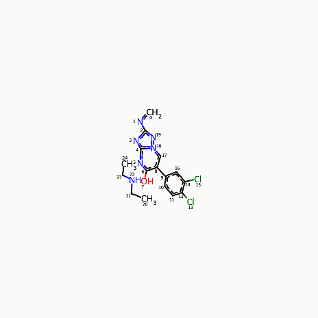 C=Nc1nc2nc(O)c(-c3ccc(Cl)c(Cl)c3)cn2n1.CCNCC